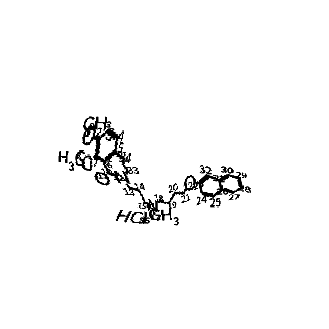 COc1ccc2c(c1OC)C(=O)N(CCCN(C)CCCCOc1ccc3ccccc3c1)CC2.Cl